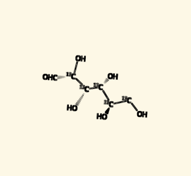 O=[13CH][13C@H](O)[13C@@H](O)[13C@H](O)[13C@H](O)[13CH2]O